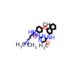 COc1ccc(NC(=O)/C=C/CN(C)C)c(Nc2ncc(OC)c(Nc3ccc4ccccc4c3)n2)c1